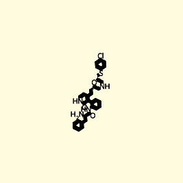 N[C@@H](Cc1ccccc1)C(=O)Nc1ccccc1-c1c(CC[C@@H]2CNC[C@@H](CSc3ccc(Cl)cc3)O2)cc[nH]c1=O